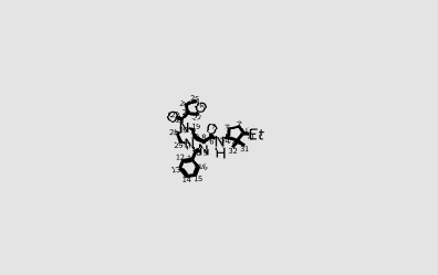 CCC1CCC(NC(=O)c2nc(-c3ccccc3)n3c2CN(C(=O)C2CCOC2)CC3)C1(C)C